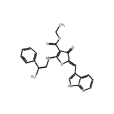 CCOC(=O)C1=C(NCC(C)c2ccccc2)OC(=Cc2c[nH]c3ncccc23)C1=O